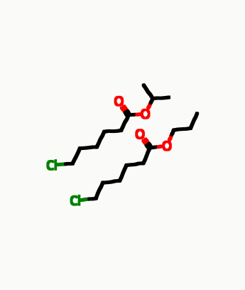 CC(C)OC(=O)CCCCCCl.CCCOC(=O)CCCCCCl